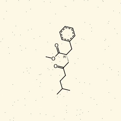 COC(=O)[C@@H](CC(=O)CCC(C)C)Cc1ccccc1